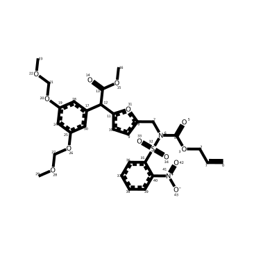 C=CCOC(=O)N(Cc1ccc(C(C(=O)OC)c2cc(OCOC)cc(OCOC)c2)o1)S(=O)(=O)c1ccccc1[N+](=O)[O-]